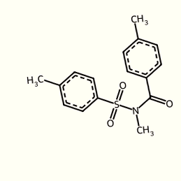 Cc1ccc(C(=O)N(C)S(=O)(=O)c2ccc(C)cc2)cc1